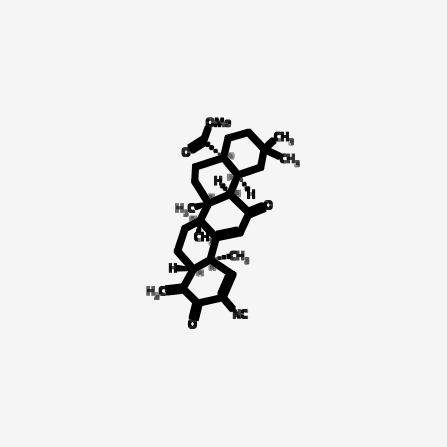 [C-]#[N+]C1=C[C@]2(C)C3=CC(=O)[C@@H]4[C@@H]5CC(C)(C)CC[C@]5(C(=O)OC)CC[C@@]4(C)[C@]3(C)CC[C@H]2C(=C)C1=O